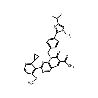 COc1ncnc(C2CC2)c1-c1ncc2cc(C(C)=O)c(=O)n(Cc3ccc(-c4nc(C(F)F)cn4C)cc3)c2n1